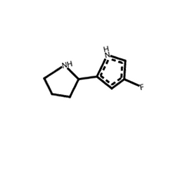 Fc1c[nH]c(C2CCCN2)c1